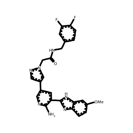 COc1ccc2nc(-c3cc(-c4cnn(CC(=O)NCc5ccc(F)c(F)c5)c4)cnc3N)[nH]c2c1